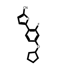 N#Cc1ccc(-c2ccc(OC3[CH]CCC3)cc2F)s1